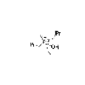 C=CC(O)(CCC(C)C)[C@@H](N)CC(C)C